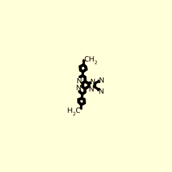 C=Cc1ccc(-c2cnc3c(c2)c2nc(C#N)c(C#N)nc2c2cc(-c4ccc(C=C)cc4)cnc23)cc1